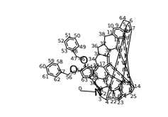 CN1CC2c3cc4c5c6c(cc7c8c9c%10c%11c%12c%13c%14c%15c(c%16c3c5c(c%10c86)c%16c%14%11)C2(CC%15C=C%13CC2CC(C7)C9C=%122)C1c1ccc(OCc2ccccc2)c(OCc2ccccc2)c1)C4